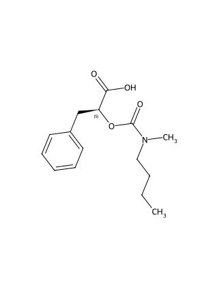 CCCCN(C)C(=O)O[C@@H](Cc1ccccc1)C(=O)O